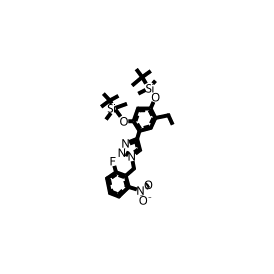 CCc1cc(-c2cn(Cc3c(F)cccc3[N+](=O)[O-])nn2)c(O[Si](C)(C)C(C)(C)C)cc1O[Si](C)(C)C(C)(C)C